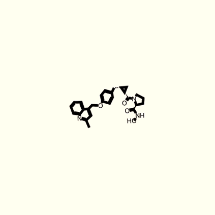 Cc1cc(COc2ccc(C[C@@H]3C[C@@H]3C(=O)N3CCC[C@H]3C(=O)NO)cc2)c2ccccc2n1